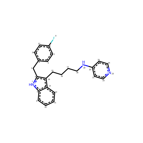 Fc1ccc(Cc2[nH]c3ccccc3c2CCCCNc2ccncc2)cc1